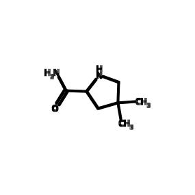 CC1(C)CNC(C(N)=O)C1